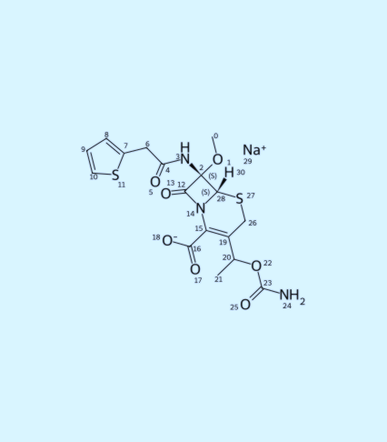 CO[C@@]1(NC(=O)Cc2cccs2)C(=O)N2C(C(=O)[O-])=C(C(C)OC(N)=O)CS[C@H]21.[Na+]